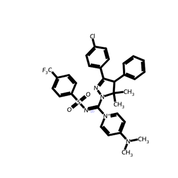 CN(C)c1cc[n+](/C(=N/S(=O)(=O)c2ccc(C(F)(F)F)cc2)N2N=C(c3ccc(Cl)cc3)C(c3ccccc3)C2(C)C)cc1